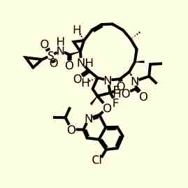 CCC(C)N(C(=O)O)[C@@H]1C(=O)N2[C@@H](C[C@@](C)(Oc3nc(OC(C)C)cc4c(Cl)cccc34)C2(F)F)C(=O)N[C@]2(C(=O)NS(=O)(=O)C3CC3)C[C@H]2/C=C\CC[C@H](C)C[C@H]1C